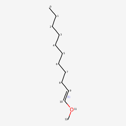 CCCCCCCCC/C=C/OC